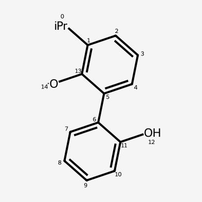 CC(C)c1cccc(-c2ccccc2O)c1[O]